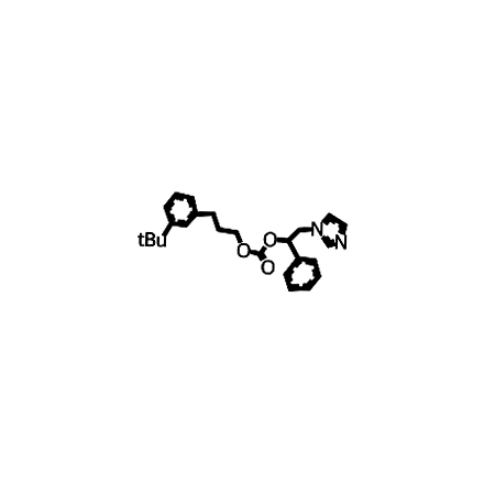 CC(C)(C)c1cccc(CCCOC(=O)OC(Cn2ccnc2)c2ccccc2)c1